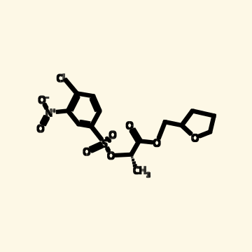 C[C@H](OS(=O)(=O)c1ccc(Cl)c([N+](=O)[O-])c1)C(=O)OCC1CCCO1